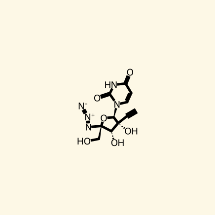 C#C[C@]1(O)[C@H](n2ccc(=O)[nH]c2=O)O[C@@](CO)(N=[N+]=[N-])[C@H]1O